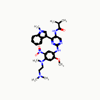 COc1cc(N(C)CCN(C)C)c([N+](=O)[O-])cc1Nc1ncc(NC(=O)C(C)C)c(-c2cn(C)c3ccccc23)n1